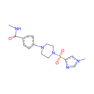 CNC(=O)c1ccc(N2CCN(S(=O)(=O)c3cn(C)cn3)CC2)cc1